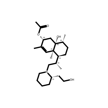 CC(=O)O[C@@H]1[C][C@@]2(O)[C@H](C)CC[C@@H]([C@H](C)CN3CCCC[C@H]3CCO)[C@H]2C=C1C